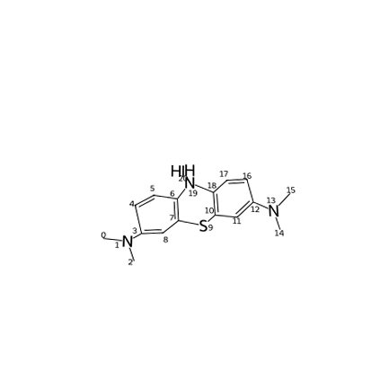 CN(C)c1ccc2c(c1)Sc1cc(N(C)C)ccc1N2.I